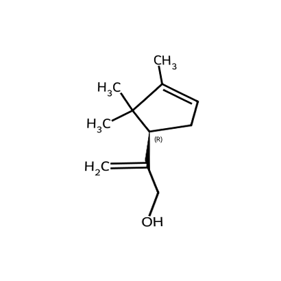 C=C(CO)[C@@H]1CC=C(C)C1(C)C